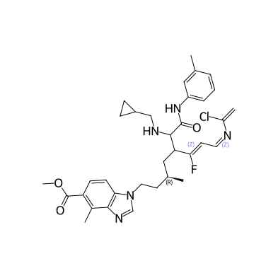 C=C(Cl)/N=C\C=C(/F)C(C[C@@H](C)CCn1cnc2c(C)c(C(=O)OC)ccc21)C(NCC1CC1)C(=O)Nc1cccc(C)c1